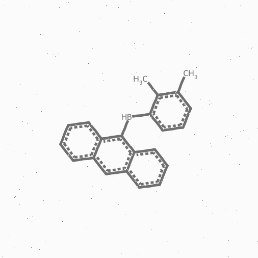 Cc1cccc(Bc2c3ccccc3cc3ccccc23)c1C